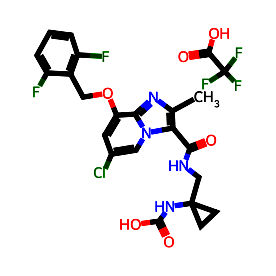 Cc1nc2c(OCc3c(F)cccc3F)cc(Cl)cn2c1C(=O)NCC1(NC(=O)O)CC1.O=C(O)C(F)(F)F